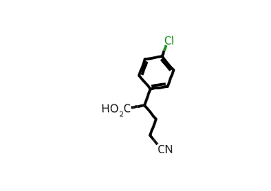 N#CCCC(C(=O)O)c1ccc(Cl)cc1